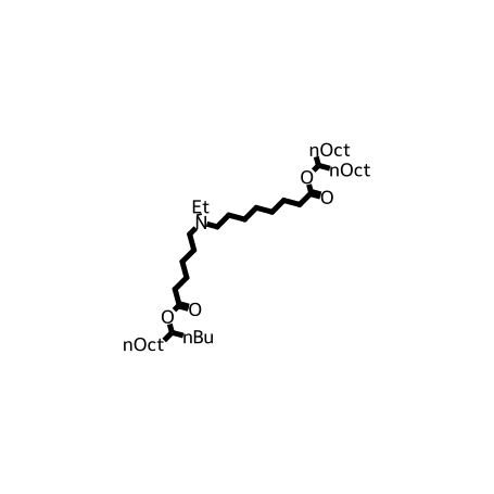 CCCCCCCCC(CCCC)OC(=O)CCCCCN(CC)CCCCCCCC(=O)OC(CCCCCCCC)CCCCCCCC